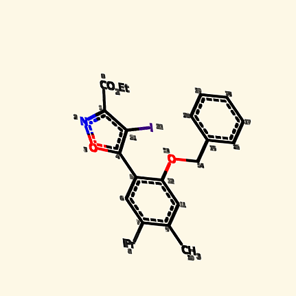 CCOC(=O)c1noc(-c2cc(C(C)C)c(C)cc2OCc2ccccc2)c1I